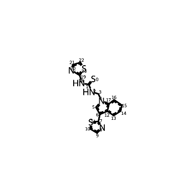 S=C(NCn1cc(-c2nccs2)c2ccccc21)Nc1nccs1